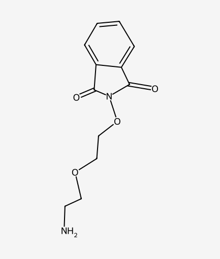 NCCOCCON1C(=O)c2ccccc2C1=O